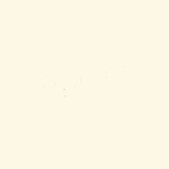 Nc1ccc(CCOC(=O)NC[C@H](O)c2cccc(Cl)c2)cc1